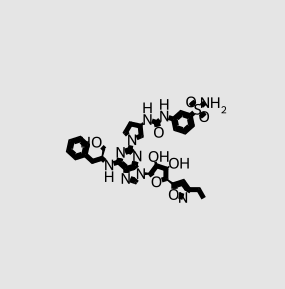 CCc1cc([C@H]2O[C@@H](n3cnc4c(N[C@H](CO)Cc5ccccc5)nc(N5CC[C@@H](NC(=O)Nc6cccc(S(N)(=O)=O)c6)C5)nc43)[C@@H](O)[C@@H]2O)on1